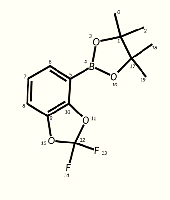 CC1(C)OB(c2cccc3c2OC(F)(F)O3)OC1(C)C